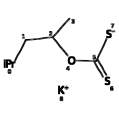 CC(C)CC(C)OC(=S)[S-].[K+]